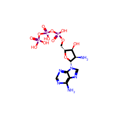 Nc1ncnc2c1ncn2[C@@H]1O[C@H](COP(=O)(O)OP(=O)(O)OP(=O)(O)O)[C@@H](O)[C@H]1N